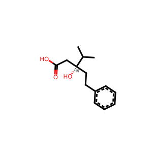 CC(C)[C@@](O)(CCc1ccccc1)CC(=O)O